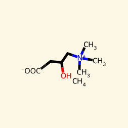 C.C[N+](C)(C)CC(O)CC(=O)[O-]